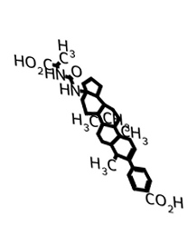 CC(NC(=O)NC12CCCC1C1CCC3C4(C)CC=C(c5ccc(C(=O)O)cc5)C(C)C4CCC3(C)[C@]1(C)CC2)C(=O)O